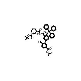 CC(C)OC(=O)c1ccc(Cl)c(-c2ccc3c(c2)c(NC(=O)[C@@H]2CCCN(C(=O)OC(C)(C)C)C2)nn3C(c2ccccc2)(c2ccccc2)c2ccccc2)c1